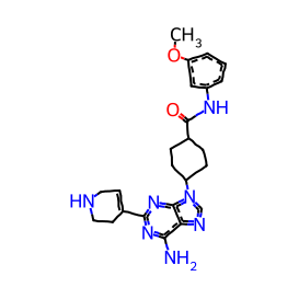 COc1cccc(NC(=O)C2CCC(n3cnc4c(N)nc(C5=CCNCC5)nc43)CC2)c1